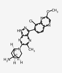 COc1cnc2ccc(-c3n[nH]c4nc(N5C[C@H]6CC[C@@H]5C[C@@H]6N)c(C)nc34)c(Cl)c2n1